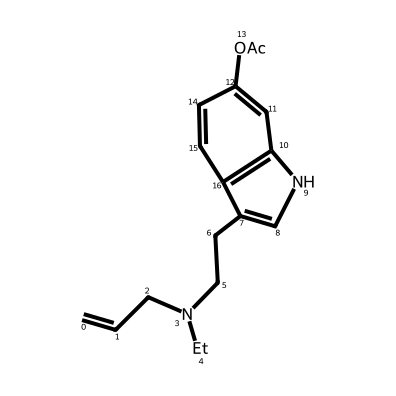 C=CCN(CC)CCc1c[nH]c2cc(OC(C)=O)ccc12